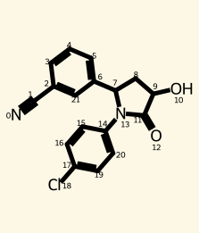 N#Cc1cccc(C2CC(O)C(=O)N2c2ccc(Cl)cc2)c1